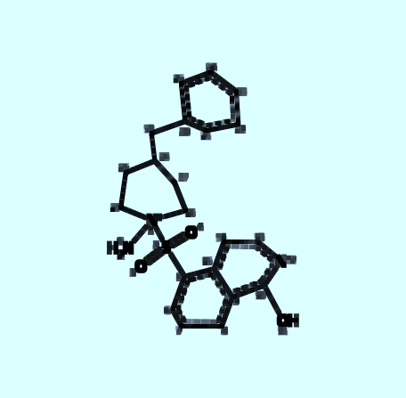 N[N+]1(S(=O)(=O)c2cccc3c(O)nccc23)CCC(Cc2ccccc2)CC1